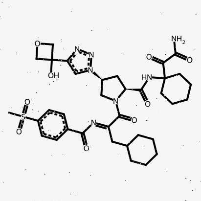 CS(=O)(=O)c1ccc(C(=O)/N=C(\CC2CCCCC2)C(=O)N2C[C@@H](n3cc(C4(O)COC4)nn3)C[C@H]2C(=O)NC2(C(=O)C(N)=O)CCCCC2)cc1